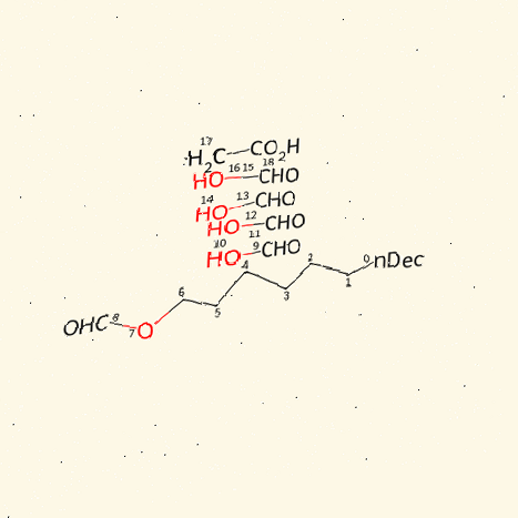 CCCCCCCCCCCCCCCCOC=O.O=CO.O=CO.O=CO.O=CO.[CH2]C(=O)O